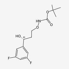 CC(C)(C)OC(=O)NOCC[C@@H](O)c1cc(F)cc(F)c1